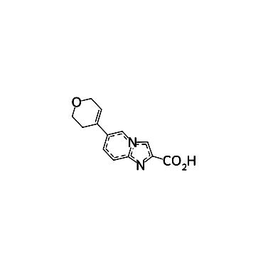 O=C(O)c1cn2cc(C3=CCOCC3)ccc2n1